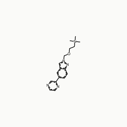 C[Si](C)(C)CCOCn1cc2cc(-c3cnccn3)ccc2n1